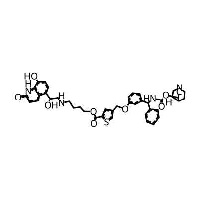 O=C(NC(c1ccccc1)c1cccc(OCc2csc(C(=O)OCCCCNC[C@@H](O)c3ccc(O)c4[nH]c(=O)ccc34)c2)c1)O[C@H]1CN2CCC1CC2